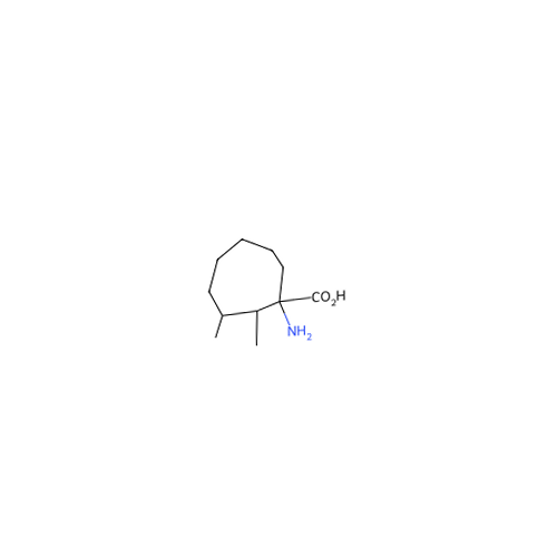 CC1CCCCCC(N)(C(=O)O)C1C